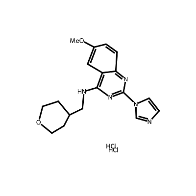 COc1ccc2nc(-n3ccnc3)nc(NCC3CCOCC3)c2c1.Cl.Cl